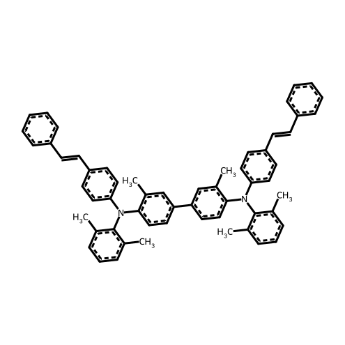 Cc1cc(-c2ccc(N(c3ccc(/C=C/c4ccccc4)cc3)c3c(C)cccc3C)c(C)c2)ccc1N(c1ccc(/C=C/c2ccccc2)cc1)c1c(C)cccc1C